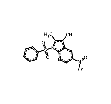 Cc1c(C)n(S(=O)(=O)c2ccccc2)c2ncc([N+](=O)[O-])cc12